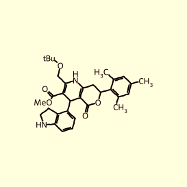 COC(=O)C1=C(COC(C)(C)C)NC2=C(C(=O)OC(c3c(C)cc(C)cc3C)C2)C1c1cccc2c1CCN2